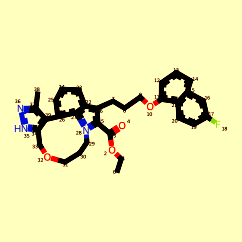 CCOC(=O)c1c(CCCOc2cccc3cc(F)ccc23)c2cccc3c2n1CCCOCc1[nH]nc(C)c1-3